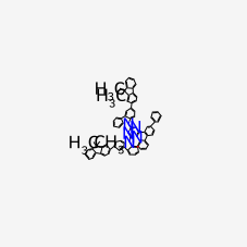 CC1(C)c2ccccc2-c2ccc(-c3ccc4c(c3)c3ccccc3n4-c3nc(-c4cc(-c5ccccc5)ccc4-c4ccccc4)nc(-n4c5ccccc5c5cc(-c6ccc7c(c6)C(C)(C)c6ccccc6-7)ccc54)n3)cc21